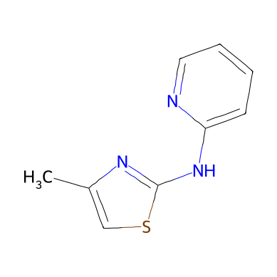 Cc1csc(Nc2ccccn2)n1